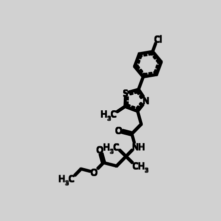 CCOC(=O)CC(C)(C)NC(=O)Cc1nc(-c2ccc(Cl)cc2)sc1C